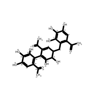 CC(=O)C1=CC(Cc2c(C(C)=O)cc(O)c(O)c2O)C(O)C(O)=C1c1c(C(C)=O)cc(O)c(O)c1O